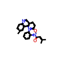 CC(C)=CC(=O)N(C)c1ccccc1-n1c(=O)ccc2cnc3ccc(C)cc3c21